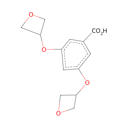 O=C(O)c1cc(OC2COC2)cc(OC2COC2)c1